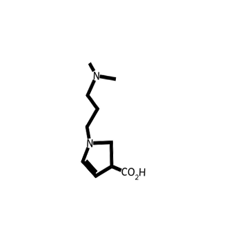 CN(C)CCCN1C=CC(C(=O)O)C1